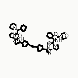 O=C(N[C@@H](C(=O)N1CCC[C@H]1c1ncc(-c2ccc(C#Cc3ccc(-c4cnc([C@@H]5CCCN5C(=O)[C@@H](c5ccccc5)N5CCCCC5)[nH]4)cc3)cc2)[nH]1)c1ccccc1)N1CCOCC1